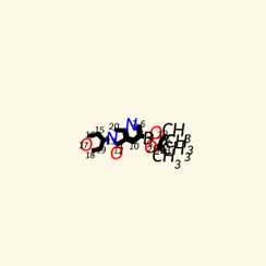 CC1(C)OB(c2cnc3c(c2)C(=O)N(C2CCOCC2)C3)OC1(C)C